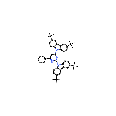 CC(C)(C)c1ccc2c(c1)c1cc(C(C)(C)C)ccc1n2-c1cc(-c2ccccc2)nc(-n2c3ccc(C(C)(C)C)cc3c3cc(C(C)(C)C)ccc32)n1